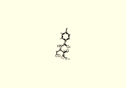 Cc1ccc(C(=O)NC(CC(=O)O)C(=O)CF)cc1